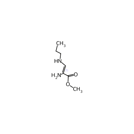 CCCN/C=C(\N)C(=O)OC